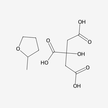 CC1CCCO1.O=C(O)CC(O)(CC(=O)O)C(=O)O